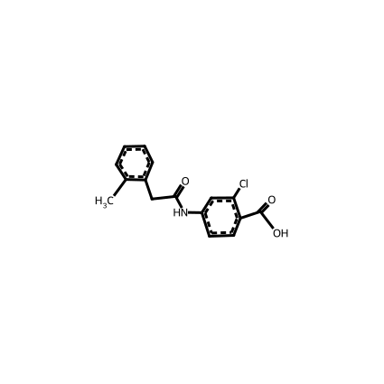 Cc1ccccc1CC(=O)Nc1ccc(C(=O)O)c(Cl)c1